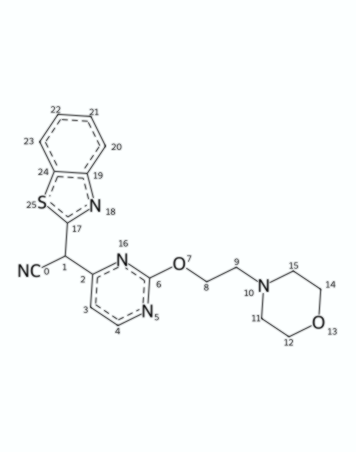 N#CC(c1ccnc(OCCN2CCOCC2)n1)c1nc2ccccc2s1